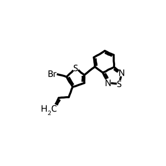 C=CCc1cc(-c2cccc3nsnc23)sc1Br